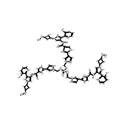 CCOC1CC(n2cc(NC(=O)c3csc(-c4cnn(COP(=O)(OCn5cc(-c6nc(C(=O)Nc7cn(C8CC(OCC)C8)nc7-c7ncccc7F)cs6)cn5)OCn5cc(-c6nc(C(=O)Nc7cn(C8CC(OCC)C8)nc7-c7ncccc7F)cs6)cn5)c4)n3)c(-c3ncccc3F)n2)C1